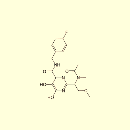 COCC(c1nc(O)c(O)c(C(=O)NCc2ccc(F)cc2)n1)N(C)C(C)=O